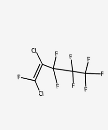 FC(Cl)=C(Cl)C(F)(F)C(F)(F)C(F)(F)F